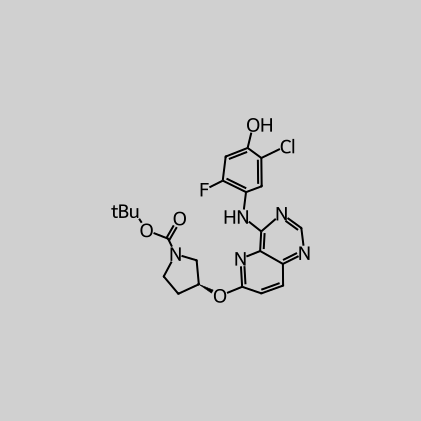 CC(C)(C)OC(=O)N1CC[C@H](Oc2ccc3ncnc(Nc4cc(Cl)c(O)cc4F)c3n2)C1